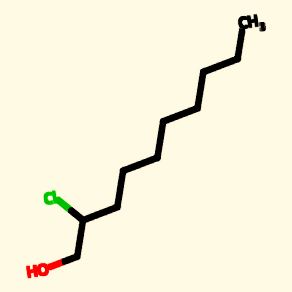 CCCCCCCCC(Cl)CO